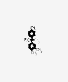 Cc1ccc(C(c2ccc(C)c(C)c2)(C(F)(F)F)C(F)(F)F)cc1